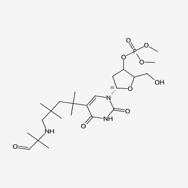 COP(=O)(OC)OC1C[C@@H](n2cc(C(C)(C)CC(C)(C)CNC(C)(C)C=O)c(=O)[nH]c2=O)OC1CO